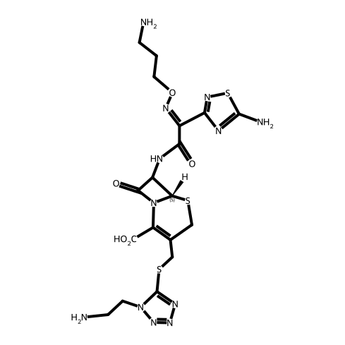 NCCCON=C(C(=O)NC1C(=O)N2C(C(=O)O)=C(CSc3nnnn3CCN)CS[C@@H]12)c1nsc(N)n1